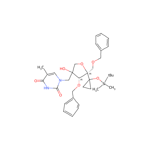 Cc1cn(CC2(O)CO[C@@](COCc3ccccc3)(C3(O[Si](C)(C)C(C)(C)C)CC3)[C@@H]2OCc2ccccc2)c(=O)[nH]c1=O